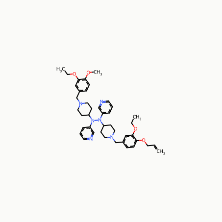 C=CCOc1ccc(CN2CCC(N(c3cccnc3)N(c3cccnc3)C3CCN(Cc4ccc(OC)c(OCC)c4)CC3)CC2)cc1OCC